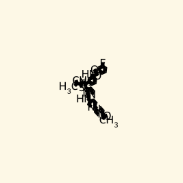 CC(=O)N1CCN(c2ccc(Nc3nccc(-c4sc(C(C)C)nc4-c4cccc(NS(=O)(=O)c5cccc(F)c5)c4)n3)cn2)CC1